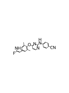 Cc1cc(/C=C(\N)F)cc(C)c1Oc1ccnc(Nc2ccc(C#N)cc2)n1